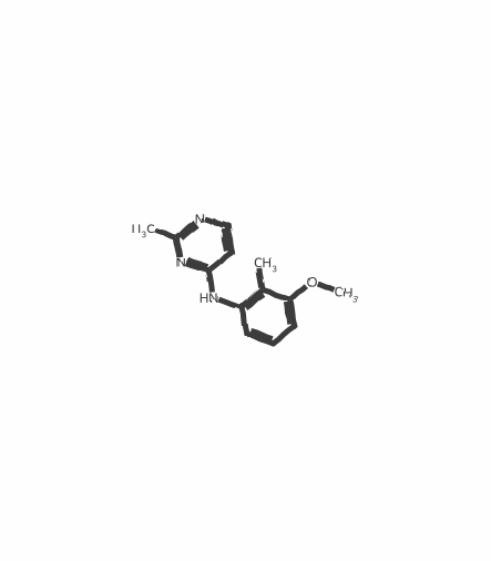 COc1cccc(Nc2ccnc(C)n2)c1C